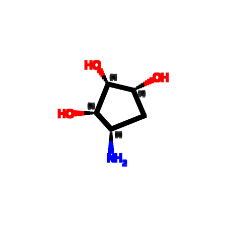 N[C@H]1C[C@@H](O)[C@@H](O)[C@H]1O